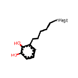 CCCCCCCCCCCCc1[c]ccc(O)c1O